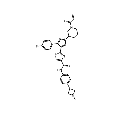 C=CC(=O)N1CCCC(n2cc(-c3nc(C(=O)Nc4ccc(C5CN(C)C5)cn4)cs3)c(-c3ccc(F)cc3)n2)C1